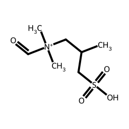 CC(C[N+](C)(C)C=O)CS(=O)(=O)O